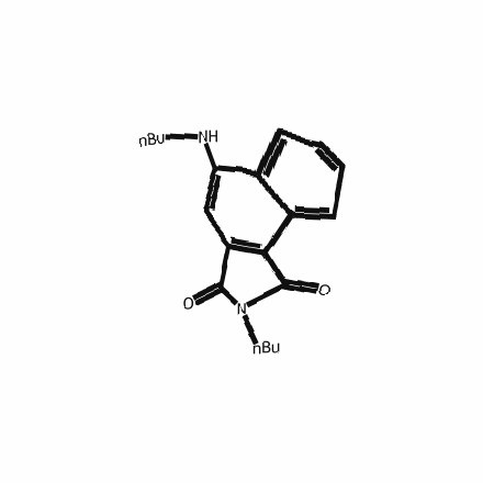 CCCCNc1cc2c(c3ccccc13)C(=O)N(CCCC)C2=O